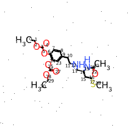 CCOC(=O)Oc1ccc(CCNC[C@H](CCSC)NC(C)=O)cc1OC(=O)OCC